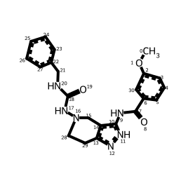 COc1cccc(C(=O)Nc2[nH]nc3c2CN(NC(=O)NCc2ccccc2)CC3)c1